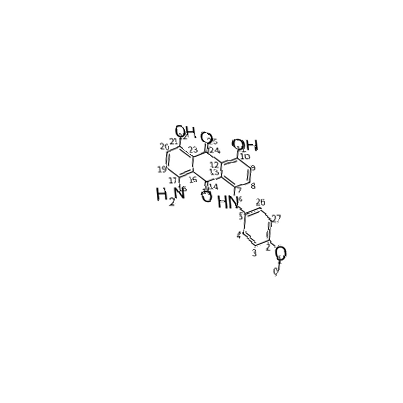 COc1ccc(Nc2ccc(O)c3c2C(=O)c2c(N)ccc(O)c2C3=O)cc1